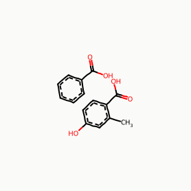 Cc1cc(O)ccc1C(=O)O.O=C(O)c1ccccc1